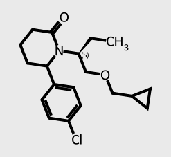 CC[C@@H](COCC1CC1)N1C(=O)CCCC1c1ccc(Cl)cc1